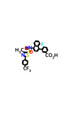 Cc1nc(-c2ccc(C(F)(F)F)cc2)sc1S(=O)(=O)Nc1ccc(-c2cc(C(=O)O)ccc2F)c2ccccc12